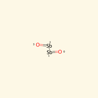 [O]=[Sb][Sb]=[O]